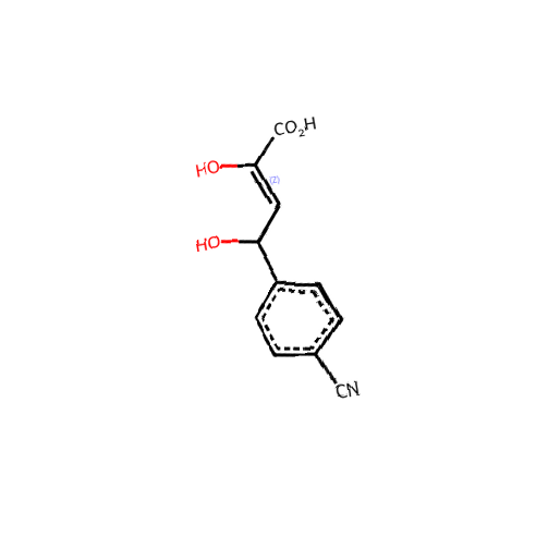 N#Cc1ccc(C(O)/C=C(\O)C(=O)O)cc1